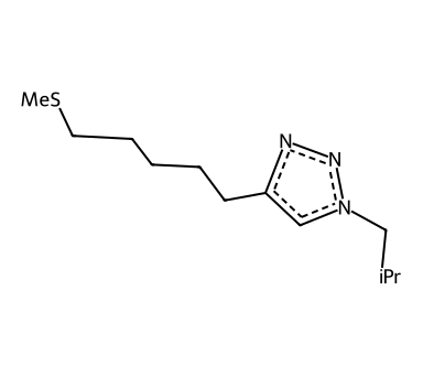 CSCCCCCc1cn(CC(C)C)nn1